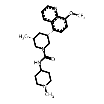 C[C@@H]1C[C@H](c2ccc(OC(F)(F)F)c3ncccc23)CN(C(=O)NC2CCN(C)CC2)C1